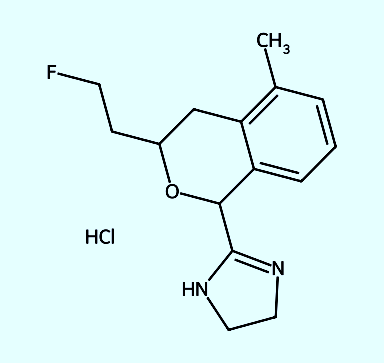 Cc1cccc2c1CC(CCF)OC2C1=NCCN1.Cl